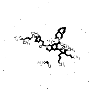 CCCCc1c(CCCC)c(-c2cc3c(cc2C(=O)N2Cc4ccccc4C[C@H]2C)CN(C(=O)Cc2ccc(N(C)CCN(C)C)cc2)CC3)n(C)c1C.NC=O